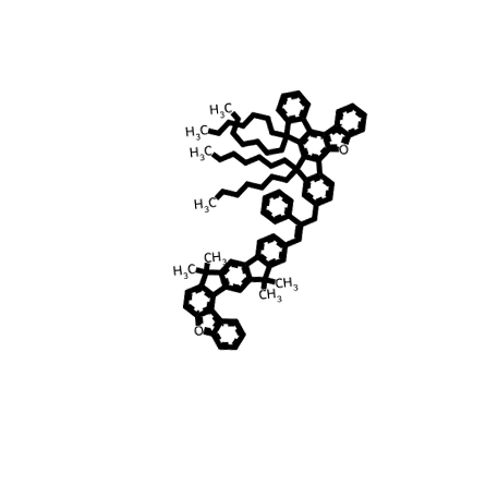 CCCCCCCC1(CCCCCCC)c2cc(C/C(=C/c3ccc4c(c3)C(C)(C)c3cc5c(cc3-4)C(C)(C)c3ccc4oc6ccccc6c4c3-5)c3ccccc3)ccc2-c2c1c1c(c3c2oc2ccccc23)-c2ccccc2C1(CCCCCCC)CCCCCCC